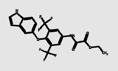 CCOC(=O)C(=O)Nc1cc(C(F)(F)F)c(Oc2ccc3[nH]ccc3c2)c(C(F)(F)F)c1